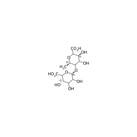 C[C@H]1OC(C(=O)O)[C@@H](O)C(O)C1O[C@@H]1OC(C(=O)O)[C@@H](O)C(O)C1O